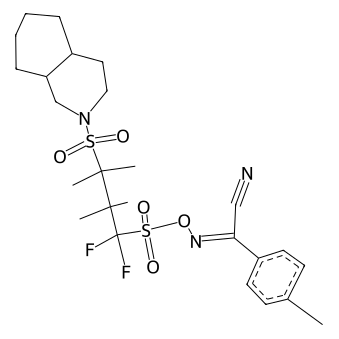 Cc1ccc(C(C#N)=NOS(=O)(=O)C(F)(F)C(C)(C)C(C)(C)S(=O)(=O)N2CCC3CCCCC3C2)cc1